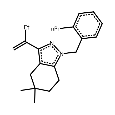 C=C(CC)c1nn(Cc2ccccc2CCC)c2c1CC(C)(C)CC2